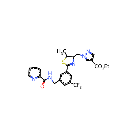 CCOC(=O)c1cnn(CC2N=C(c3cc(CNC(=O)c4ccccn4)cc(C(F)(F)F)c3)SC2C)c1